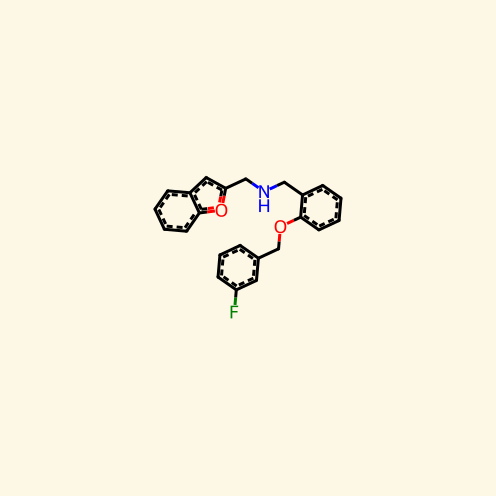 Fc1cccc(COc2ccccc2CNCc2cc3ccccc3o2)c1